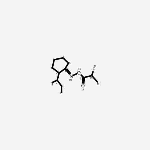 CCC(C)C1CCCCC1=NOC(=O)C(C)F